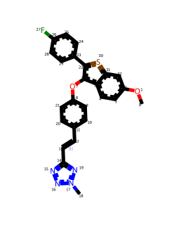 COc1ccc2c(Oc3ccc(/C=C/c4nnn(C)n4)cc3)c(-c3ccc(F)cc3)sc2c1